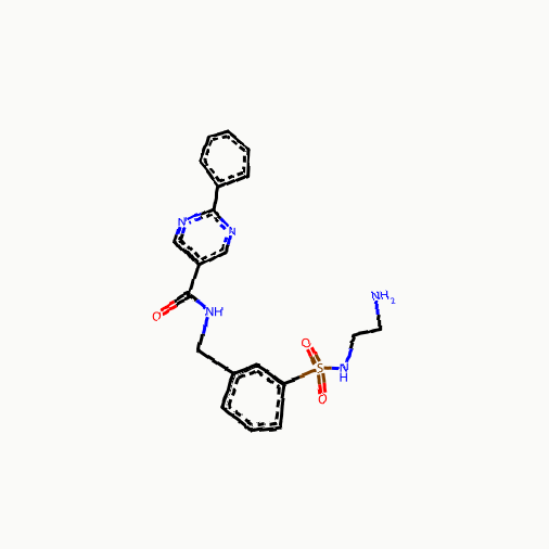 NCCNS(=O)(=O)c1cccc(CNC(=O)c2cnc(-c3ccccc3)nc2)c1